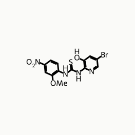 COc1cc([N+](=O)[O-])ccc1NC(=S)Nc1ncc(Br)cc1O